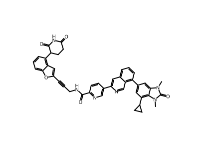 Cn1c(=O)n(C)c2c(C3CC3)cc(-c3cccc4cc(-c5ccc(C(=O)NCC#Cc6cc7c(C8CCC(=O)NC8=O)cccc7o6)nc5)ncc34)cc21